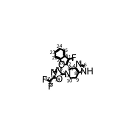 Fc1c([C@@H]2c3nc[nH]c3CCN2c2nnc(C(F)F)o2)oc2ccccc12